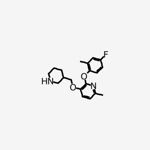 Cc1ccc(OCC2CCCNC2)c(Oc2ccc(F)cc2C)n1